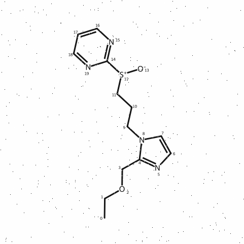 CCOCc1nccn1CCC[S+]([O-])c1ncccn1